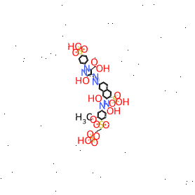 COc1cc(N=Nc2c(S(=O)(=O)O)cc3ccc(/N=N/c4c(O)nn(-c5ccc(S(=O)(=O)O)cc5)c4C(=O)O)cc3c2O)c(O)cc1S(=O)(=O)CCOS(=O)(=O)O